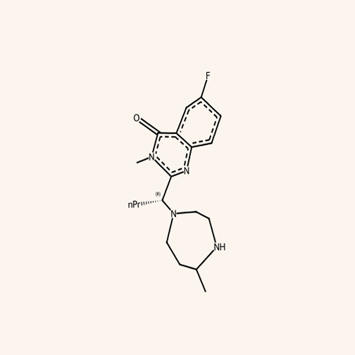 CCC[C@H](c1nc2ccc(F)cc2c(=O)n1C)N1CCNC(C)CC1